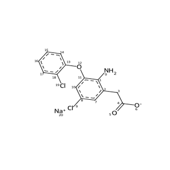 Nc1c(CC(=O)[O-])cc(Cl)cc1Oc1ccccc1Cl.[Na+]